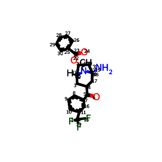 CN1[C@@H]2CC(C(=O)c3cccc(C(F)(F)F)c3)C[C@@]1(N)CC2OC(=O)c1ccccc1